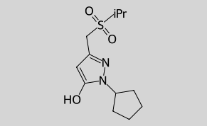 CC(C)S(=O)(=O)Cc1cc(O)n(C2CCCC2)n1